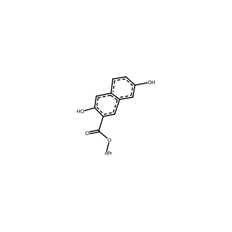 CCCOC(=O)c1cc2cc(O)ccc2cc1O